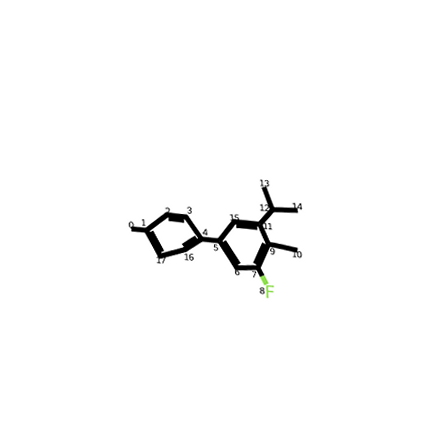 Cc1ccc(-c2cc(F)c(C)c(C(C)C)c2)cc1